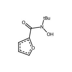 CC(C)(C)N(O)C(=O)c1ccco1